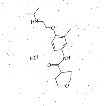 Cc1cc(NC(=O)C2CCOCC2)ccc1OCCNC(C)C.Cl